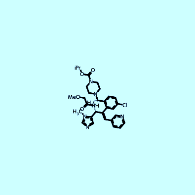 COCC(=O)N[C@H](/C(=C/c1cccnc1)c1cc(Cl)ccc1[C@@H](C)N1CCN(C(=O)OC(C)C)CC1)c1cncn1C